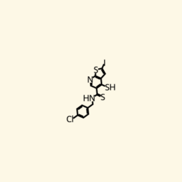 S=C(NCc1ccc(Cl)cc1)c1cnc2sc(I)cc2c1S